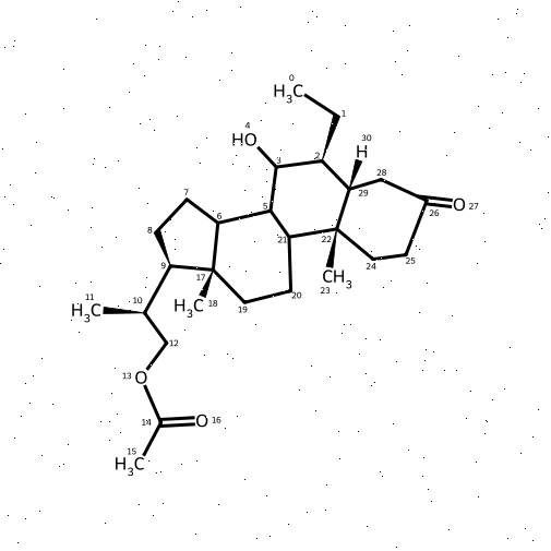 CC[C@@H]1C(O)C2C3CC[C@H]([C@H](C)COC(C)=O)[C@@]3(C)CCC2[C@@]2(C)CCC(=O)C[C@@H]12